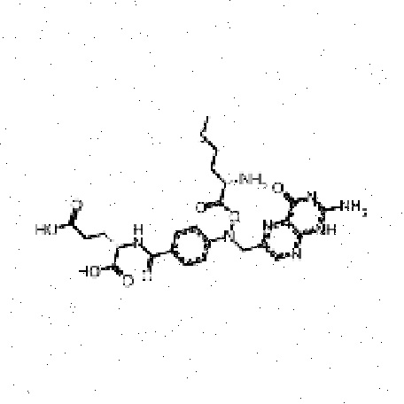 CSCC[C@H](N)C(=O)ON(Cc1cnc2[nH]c(N)nc(=O)c2n1)c1ccc(C(=O)N[C@@H](CCC(=O)O)C(=O)O)cc1